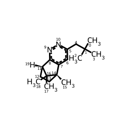 CC(C)(C)Cc1cc2c(nn1)[C@H]1CC[C@]2(C)C1(C)C